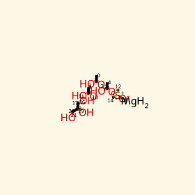 CC(=O)O.CC(=O)O.CC(=O)O.C[S+](C)[O-].OCC(O)CO.[MgH2]